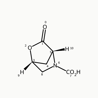 O=C1O[C@@H]2C[C@H]1N(C(=O)O)C2